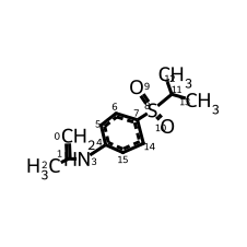 C=C(C)Nc1ccc(S(=O)(=O)C(C)C)cc1